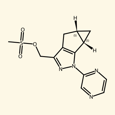 CS(=O)(=O)OCc1nn(-c2cnccn2)c2c1C[C@@H]1C[C@H]21